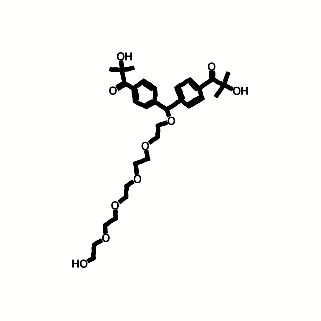 CC(C)(O)C(=O)c1ccc(C(OCCOCCOCCOCCOCCO)c2ccc(C(=O)C(C)(C)O)cc2)cc1